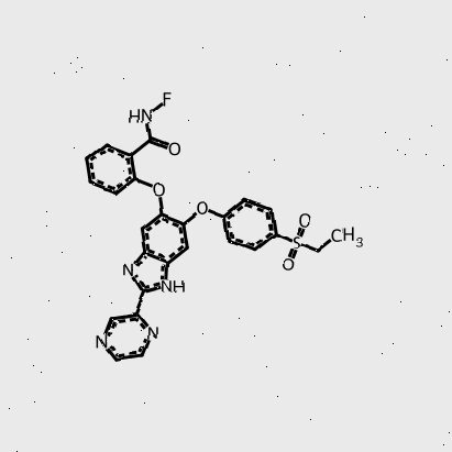 CCS(=O)(=O)c1ccc(Oc2cc3[nH]c(-c4cnccn4)nc3cc2Oc2ccccc2C(=O)NF)cc1